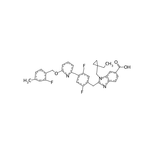 CCC1(Cn2c(Cc3cc(F)c(-c4cccc(OCc5ccc(C)cc5F)n4)cc3F)nc3ccc(C(=O)O)cc32)CC1